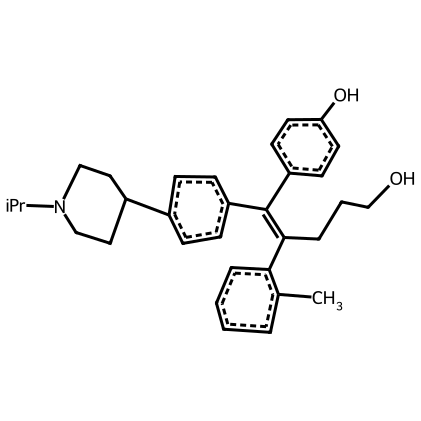 Cc1ccccc1/C(CCCO)=C(/c1ccc(O)cc1)c1ccc(C2CCN(C(C)C)CC2)cc1